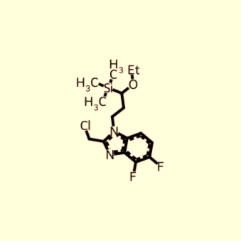 CCOC(CCn1c(CCl)nc2c(F)c(F)ccc21)[Si](C)(C)C